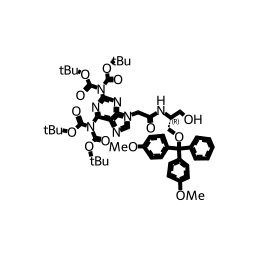 COc1ccc(C(OC[C@@H](CO)NC(=O)Cn2cnc3c(N(C(=O)OC(C)(C)C)C(=O)OC(C)(C)C)nc(N(C(=O)OC(C)(C)C)C(=O)OC(C)(C)C)nc32)(c2ccccc2)c2ccc(OC)cc2)cc1